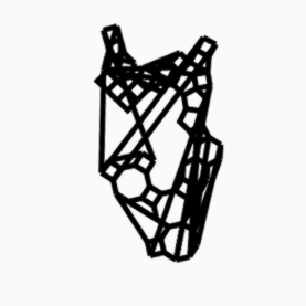 C1C2C3C4C5C6C7C8C9C%10C%11C%12C%13%14C(C8C9%11%13)C89C%11C%13C%15%16C%17C%18C%12(C%12%19C%10CC%12C%10CC%12C%20C%21C%22C%23C%24CC%25C%26C1C1%27C%28C2C3C%28C12C1C%27C3C1C1%27C%263C%25C%241C1C%233C%23C%22%24C%22C%21C%15(C%20%17C%10%12%19)C%22%13C%24%10C%12C%13C%15C%12C%23%10C3%10C3C%12C(C3C1%27%10)C21C2C4C5C2C%121C%151C2C6C7C2C%1318)C%149C%11%18%16